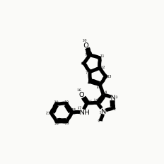 Cn1cnc(C2=CC3CC(=O)CC3C2)c1C(=O)Nc1ccccc1